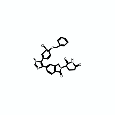 Cn1cnc(-c2ccc3c(c2)CN(C2CCC(=O)NC2=O)C3=O)c1-c1ccc(OCc2ccccc2)c(Cl)c1